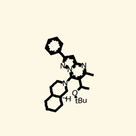 Cc1nc2cc(-c3ccccc3)nn2c(N2CCC3CCCC[C@@H]3C2)c1C(C)OC(C)(C)C